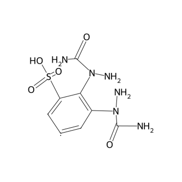 NC(=O)N(N)c1c[c]cc(S(=O)(=O)O)c1N(N)C(N)=O